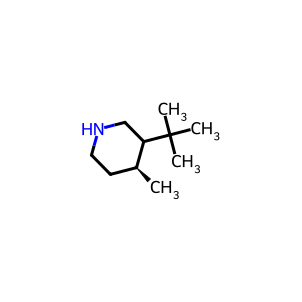 C[C@H]1CCNCC1C(C)(C)C